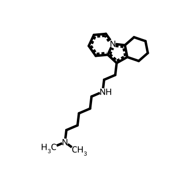 CN(C)CCCCCNCCc1c2c(n3ccccc13)CCCC2